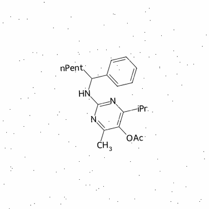 CCCCCC(Nc1nc(C)c(OC(C)=O)c(C(C)C)n1)c1ccccc1